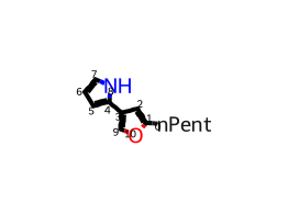 CCCCCc1cc(-c2ccc[nH]2)co1